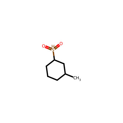 CC1CCCC([SH](=O)=O)C1